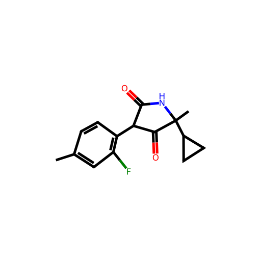 Cc1ccc(C2C(=O)NC(C)(C3CC3)C2=O)c(F)c1